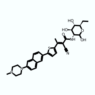 CC[C@H]1OC(O)[C@H](NC(=O)/C(C#N)=C(\C)c2ccc(-c3ccc4cc(N5CCN(C)CC5)ccc4c3)s2)[C@@H](O)[C@@H]1O